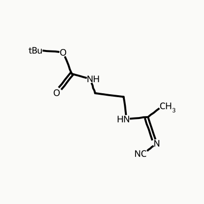 C/C(=N/C#N)NCCNC(=O)OC(C)(C)C